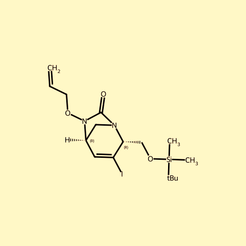 C=CCON1C(=O)N2C[C@H]1C=C(I)[C@H]2CO[Si](C)(C)C(C)(C)C